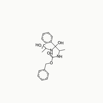 CC(NC(=O)OCc1ccccc1)C(O)(N[C@@H](C)C(=O)O)c1ccccc1